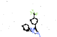 CN1CC(c2ccc(C(F)(F)F)cc2)N(c2ccccc2)C1